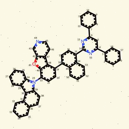 c1ccc(-c2cc(-c3ccccc3)nc(-c3ccc(-c4ccc(-n5c6ccccc6c6c7ccccc7ccc65)c5oc6cnccc6c45)c4ccccc34)n2)cc1